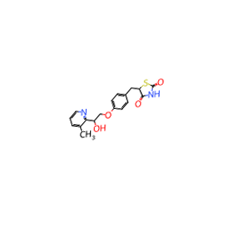 Cc1cccnc1C(O)COc1ccc(CC2SC(=O)NC2=O)cc1